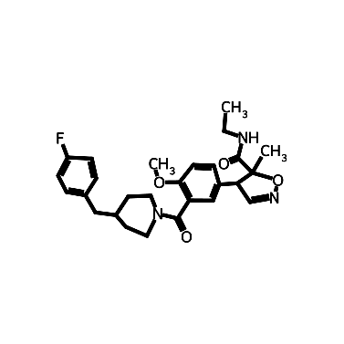 CCNC(=O)C1(C)ON=CC1c1ccc(OC)c(C(=O)N2CCC(Cc3ccc(F)cc3)CC2)c1